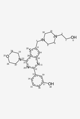 OCCN1CCN(Cc2cc3nc(-c4cccc(O)c4)nc(N4CCOCC4)c3s2)CC1